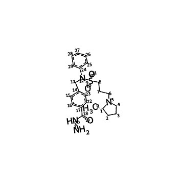 C[C@H]1CCCN1CCCS(=O)(=O)N(Cc1ccc(C(=O)NN)cc1)c1ccccc1